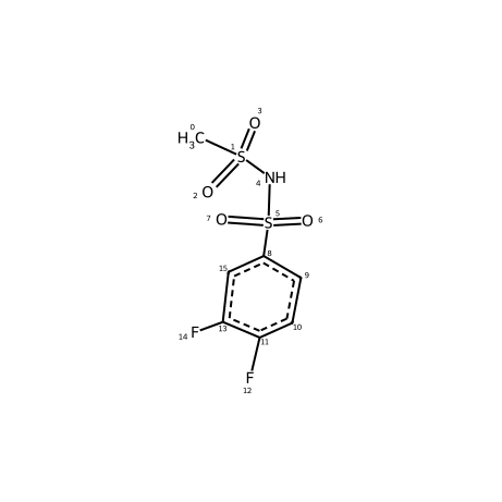 CS(=O)(=O)NS(=O)(=O)c1ccc(F)c(F)c1